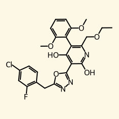 CCOCc1nc(O)c(-c2nnc(Cc3ccc(Cl)cc3F)o2)c(O)c1-c1c(OC)cccc1OC